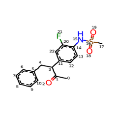 CC(=O)C(Cc1ccccc1)c1ccc(NS(C)(=O)=O)c(F)c1